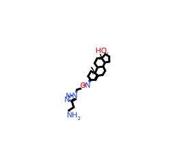 C[C@]12CCC(=NOCCn3cc(CCN)nn3)C=C1CCC1C2CC[C@@]2(C)C1CC[C@@H]2O